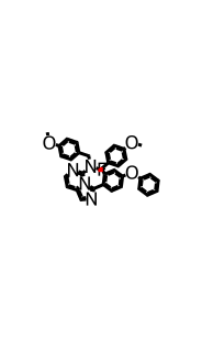 COc1ccc(CN(Cc2ccc(OC)cc2)c2nccc3cnc(-c4ccc(Oc5ccccc5)cc4F)n23)cc1